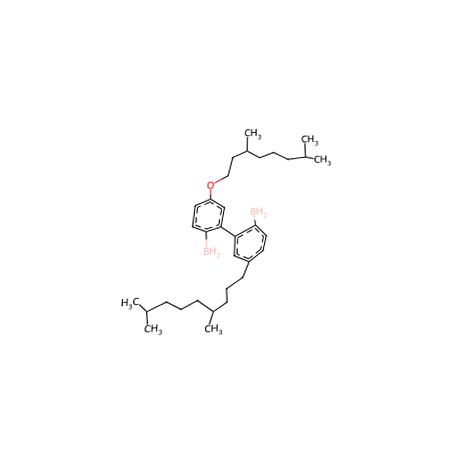 Bc1ccc(CCCC(C)CCCC(C)C)cc1-c1cc(OCCC(C)CCCC(C)C)ccc1B